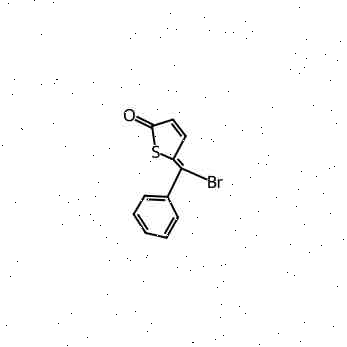 O=C1C=C/C(=C(\Br)c2ccccc2)S1